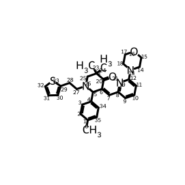 Cc1ccc(C2C(=Cc3cccc(N4CCOCC4)n3)C(=O)C(C)(C)CN2CCc2cccs2)cc1